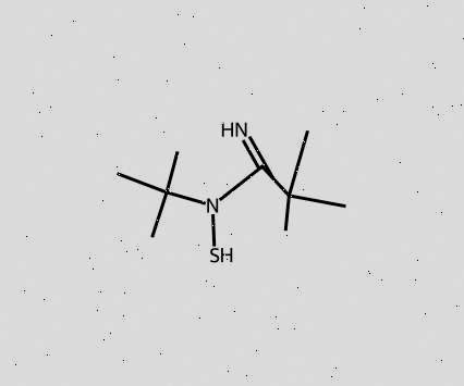 CC(C)(C)C(=N)N(S)C(C)(C)C